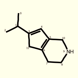 CC(C)C1=CC2=C(CCNC2)C1